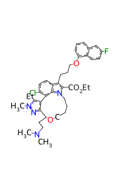 CCOC(=O)c1c(CCCOc2cccc3cc(F)ccc23)c2ccc(Cl)c3c2n1CCCCOC(CCN(C)C)c1nn(C)c(CC)c1-3